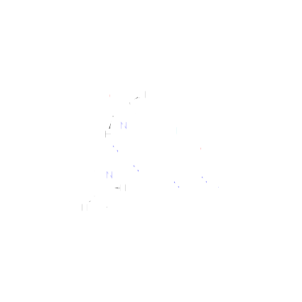 Nc1ncc(-c2cc(N3C[C@@H]4C[C@H]3CO4)nc(N3CC[C@H]4C[C@H]43)n2)cc1OC(F)F